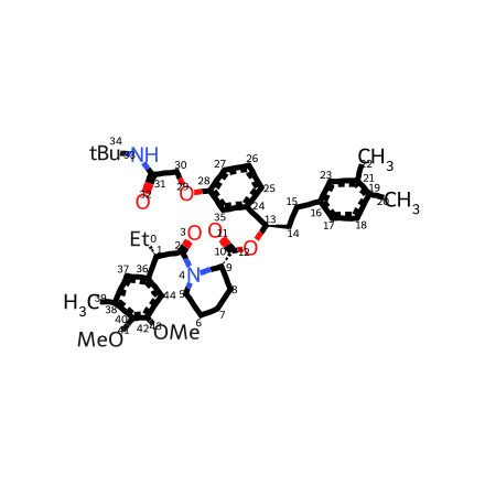 CC[C@H](C(=O)N1CCCC[C@H]1C(=O)O[C@H](CCc1ccc(C)c(C)c1)c1cccc(OCC(=O)NC(C)(C)C)c1)c1cc(C)c(OC)c(OC)c1